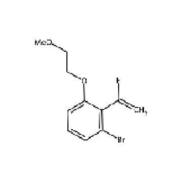 C=C(F)c1c(Br)cccc1OCCOC